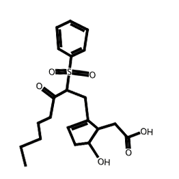 CCCCCC(=O)C(CC1=CCC(O)C1CC(=O)O)S(=O)(=O)c1ccccc1